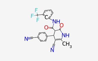 CC1=C(C#N)C(c2ccc(C#N)cc2)C(C(=O)Nc2cccc(C(F)(F)F)c2)C(=O)N1